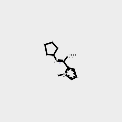 CCOC(=O)/C(=N\C1CCCC1)c1cccn1C